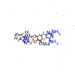 COc1cc(Cc2cc(N)nc(N)n2)cc(OC)c1OCCc1nnn(C(C)(C)CC(C)C)n1